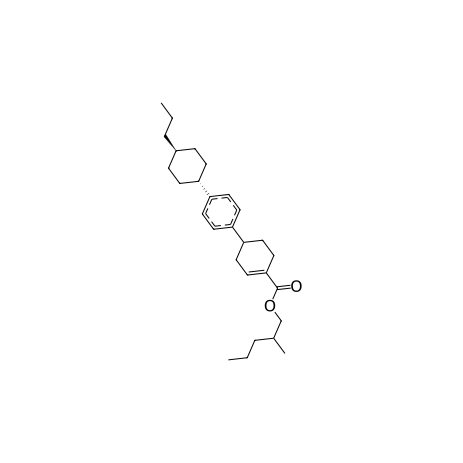 CCCC(C)COC(=O)C1=CCC(c2ccc([C@H]3CC[C@H](CCC)CC3)cc2)CC1